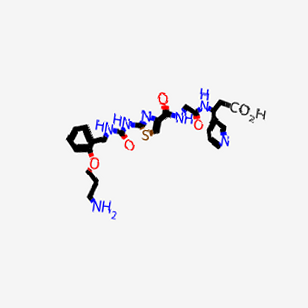 NCCCOc1ccccc1CNC(=O)Nc1nc(C(=O)NCC(=O)NC(CC(=O)O)c2cccnc2)cs1